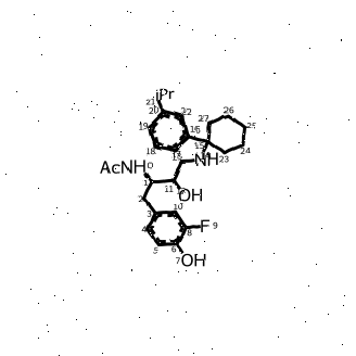 CC(=O)NC(Cc1ccc(O)c(F)c1)C(O)CNC1(c2cccc(C(C)C)c2)CCCCC1